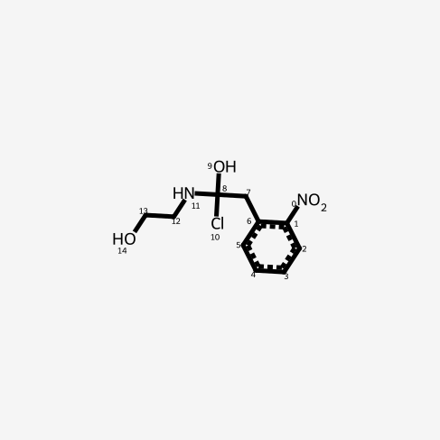 O=[N+]([O-])c1ccccc1CC(O)(Cl)NCCO